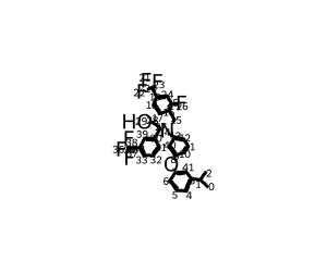 CC(C)c1cccc(Oc2cccc(N(Cc3ccc(C(F)(F)F)cc3F)C(CO)c3cccc(C(F)(F)F)c3)c2)c1